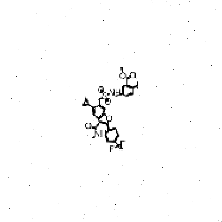 CNC(=O)c1c(-c2ccc(C(F)(F)F)cc2)oc2cc(CS(=O)(=O)NCc3ccc(I)c(C(=O)OC)c3)c(C3CC3)cc12